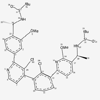 COc1cc(-c2nccc(-c3cccc(-c4ccc([C@H](C)N[S+]([O-])C(C)(C)C)c(OC)n4)c3Cl)c2Cl)ccc1[C@H](C)N[S+]([O-])C(C)(C)C